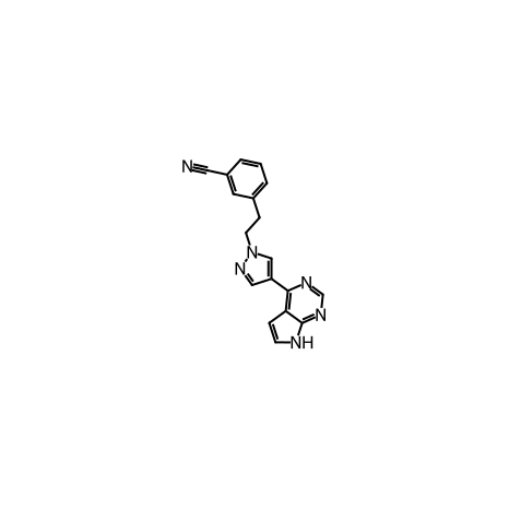 N#Cc1cccc(CCn2cc(-c3ncnc4[nH]ccc34)cn2)c1